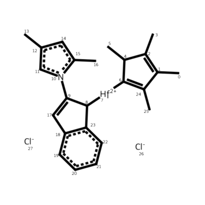 CC1=C(C)C(C)[C]([Hf+2][CH]2C(n3cc(C)cc3C)=Cc3ccccc32)=C1C.[Cl-].[Cl-]